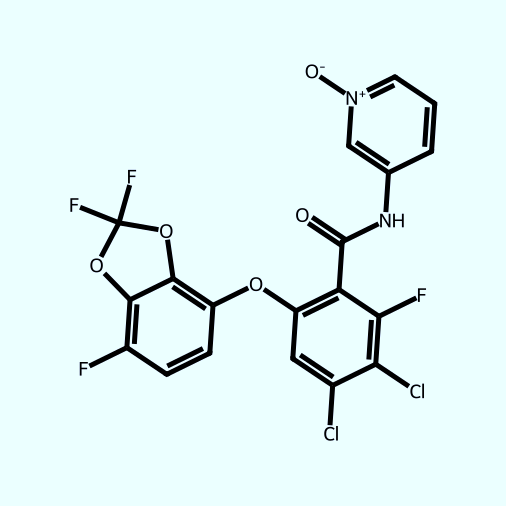 O=C(Nc1ccc[n+]([O-])c1)c1c(Oc2ccc(F)c3c2OC(F)(F)O3)cc(Cl)c(Cl)c1F